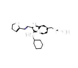 COOCc1ccn2c(NC3CCCCC3)c(/C=C/C3=CCCO3)nc2c1